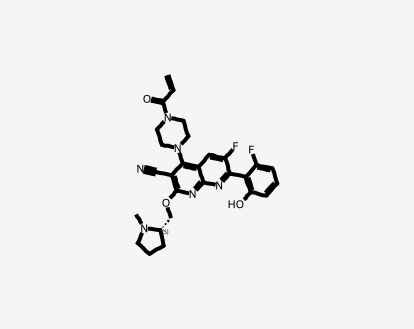 C=CC(=O)N1CCN(c2c(C#N)c(OC[C@@H]3CCCN3C)nc3nc(-c4c(O)cccc4F)c(F)cc23)CC1